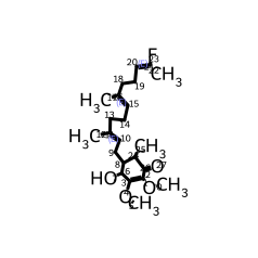 COC1=C(OC)C(O)C(C/C=C(\C)CC/C=C(\C)CC/C=C(\C)F)C(C)C1=O